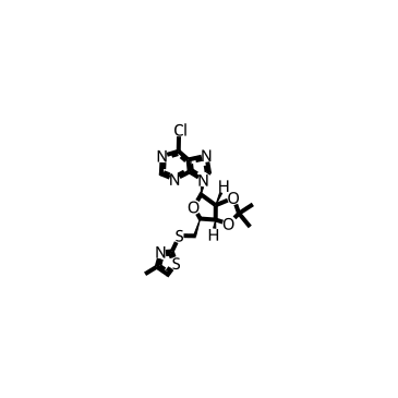 Cc1csc(SC[C@H]2O[C@@H](n3cnc4c(Cl)ncnc43)[C@@H]3OC(C)(C)O[C@@H]32)n1